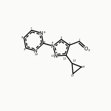 O=Cc1cn(-c2ncccn2)nc1C1CC1